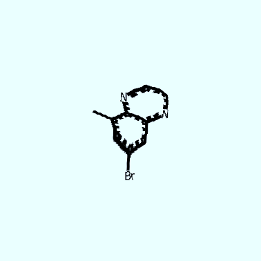 Cc1cc(Br)cc2nccnc12